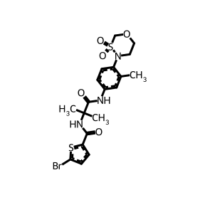 Cc1cc(NC(=O)C(C)(C)NC(=O)c2ccc(Br)s2)ccc1N1CCOCS1(=O)=O